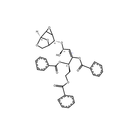 O=C(OCC[C@@H](OC(=O)c1ccccc1)/C(=C\[C@@H](O)O[C@@H]1C2CO[C@H](O2)C2OC21)OC(=O)c1ccccc1)c1ccccc1